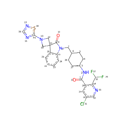 O=C(NC1CCC(CN2C(=O)C3(CN(c4ncns4)C3)c3ccccc32)CC1)c1cc(Cl)cnc1C(F)F